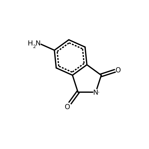 Nc1ccc2c(c1)C(=O)[N]C2=O